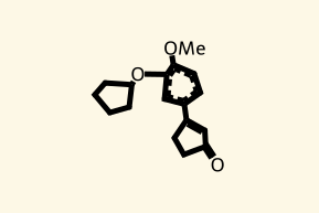 COc1ccc(C2=CC(=O)CC2)cc1OC1CCCC1